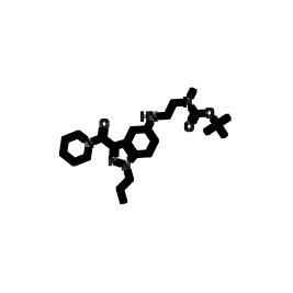 CCCn1nc(C(=O)N2CCCCC2)c2c1CCC(NCCN(C)C(=O)OC(C)(C)C)C2